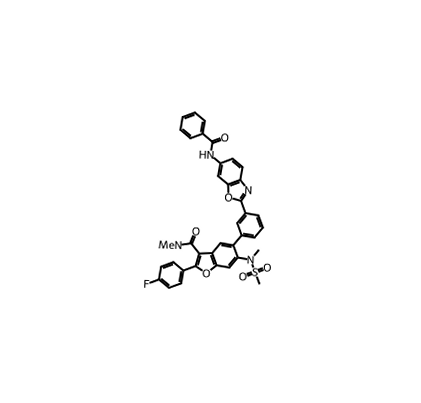 CNC(=O)c1c(-c2ccc(F)cc2)oc2cc(N(C)S(C)(=O)=O)c(-c3cccc(-c4nc5ccc(NC(=O)c6ccccc6)cc5o4)c3)cc12